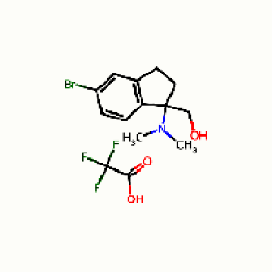 CN(C)C1(CO)CCc2cc(Br)ccc21.O=C(O)C(F)(F)F